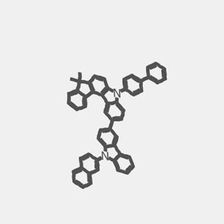 CC1(C)c2ccccc2-c2c1ccc1c2c2cc(-c3ccc4c(c3)c3ccccc3n4-c3ccc4ccccc4c3)ccc2n1-c1ccc(-c2ccccc2)cc1